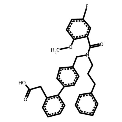 COc1ccc(F)cc1C(=O)N(CCCc1ccccc1)Cc1ccc(-c2ccccc2CC(=O)O)cc1